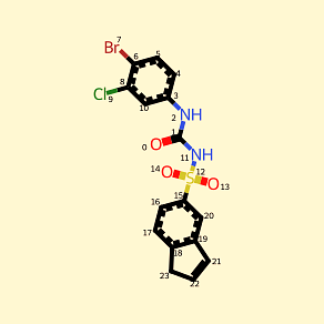 O=C(Nc1ccc(Br)c(Cl)c1)NS(=O)(=O)c1ccc2c(c1)C=CC2